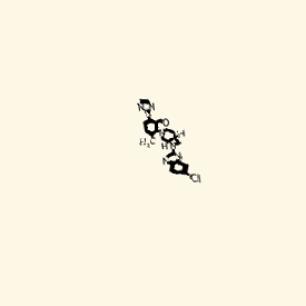 Cc1ccc(-n2nccn2)c(C=O)c1N1CC[C@@H]2CN(c3cnc4ccc(Cl)cc4n3)[C@@H]2C1